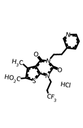 Cc1c(C(=O)O)sc2c1c(=O)n(CCc1cccnc1)c(=O)n2CCC(F)(F)F.Cl